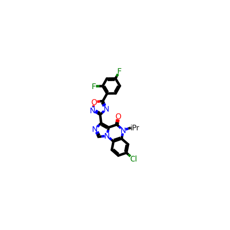 CC(C)n1c(=O)c2c(-c3noc(-c4ccc(F)cc4F)n3)ncn2c2ccc(Cl)cc21